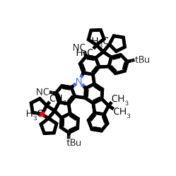 CC(C)(C)c1ccc2c(c1)C(C1(C)CCCC1)(C1(C)CCCC1)c1c(C#N)cc3c(c1-2)c1cc2c(c4c5c6c(c(C#N)cc5n3c14)C(C1(C)CCCC1)(C1(C)CCCC1)c1cc(C(C)(C)C)ccc1-6)-c1ccccc1C2(C)C